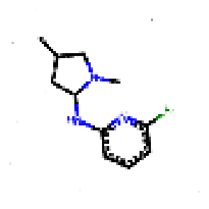 CC1CC(Nc2cccc(Br)n2)N(C)C1